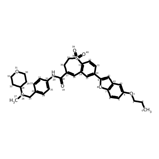 CCCOc1ccc2oc(-c3ccc4c(c3)C=C(C(=O)Nc3ccc(CN(C)C5CCOCC5)cc3)CCS4(=O)=O)cc2c1